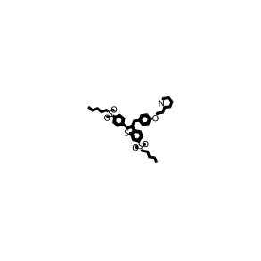 CCCCCS(=O)(=O)c1ccc(-c2sc3cc(S(=O)(=O)CCCCC)ccc3c2Cc2ccc(OCCC3=NCCCC3)cc2)cc1